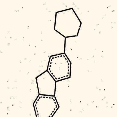 [c]1c(C2CCCCC2)ccc2c1Cc1ccccc1-2